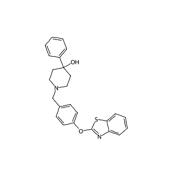 OC1(c2ccccc2)CCN(Cc2ccc(Oc3nc4ccccc4s3)cc2)CC1